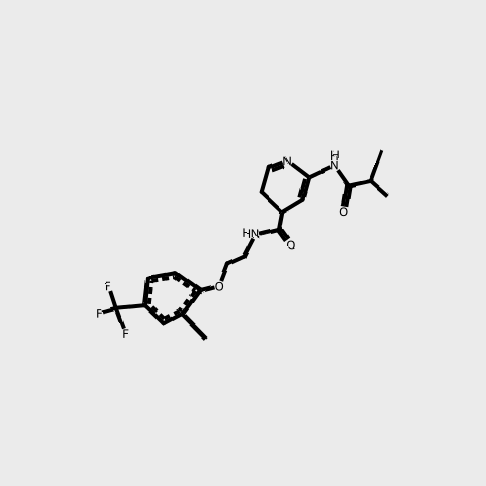 Cc1cc(C(F)(F)F)ccc1OCCNC(=O)C1C=C(NC(=O)C(C)C)N=CC1